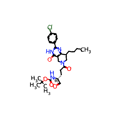 CCCCC1CN(C(=O)CC[C@H](C=O)NC(=O)OC(C)(C)C)Cc2c1nc(-c1ccc(Cl)cc1)[nH]c2=O